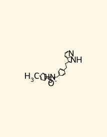 Cc1ccc([S+]([O-])NCc2ccc(CCc3c[nH]c4ncccc34)cc2)cc1